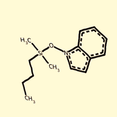 CCCC[Si](C)(C)On1ccc2ccccc21